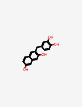 Oc1ccc2cc(Cc3ccc(O)c(O)c3)c(O)cc2c1